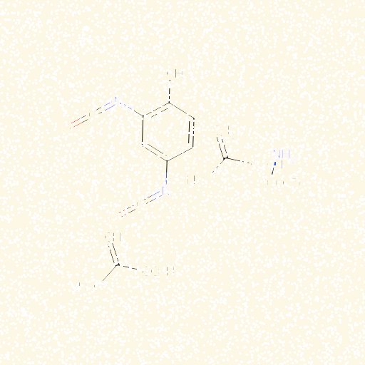 C=C(C)C(=O)O.C=C(C)C(=O)O.CCOC(N)=O.Cc1ccc(N=C=O)cc1N=C=O